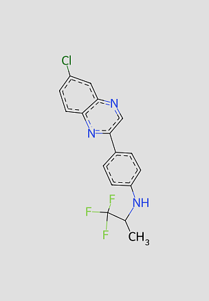 CC(Nc1ccc(-c2cnc3cc(Cl)ccc3n2)cc1)C(F)(F)F